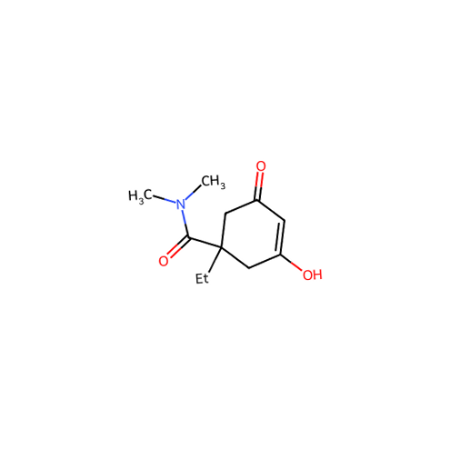 CCC1(C(=O)N(C)C)CC(=O)C=C(O)C1